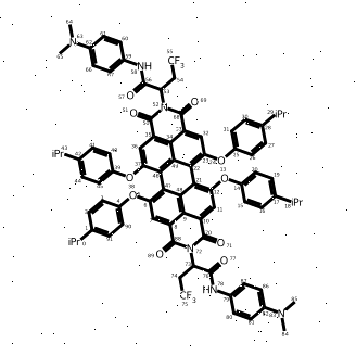 CC(C)c1ccc(Oc2cc3c4c(cc(Oc5ccc(C(C)C)cc5)c5c6c(Oc7ccc(C(C)C)cc7)cc7c8c(cc(Oc9ccc(C(C)C)cc9)c(c2c45)c86)C(=O)N(C(CC(F)(F)F)C(=O)Nc2ccc(N(C)C)cc2)C7=O)C(=O)N(C(CC(F)(F)F)C(=O)Nc2ccc(N(C)C)cc2)C3=O)cc1